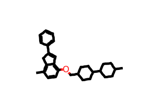 Cc1ccc(OCC2CCC(C3CCC(C)CC3)CC2)c2c1CC(c1ccccc1)=C2